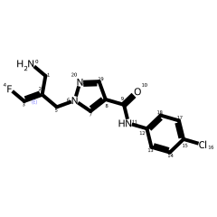 NC/C(=C\F)Cn1cc(C(=O)Nc2ccc(Cl)cc2)cn1